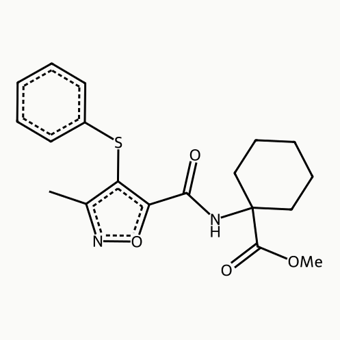 COC(=O)C1(NC(=O)c2onc(C)c2Sc2ccccc2)CCCCC1